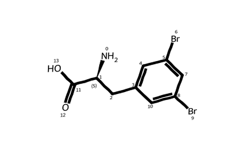 N[C@@H](Cc1cc(Br)cc(Br)c1)C(=O)O